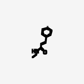 CCNC(=O)C=Cc1cc[c]cc1